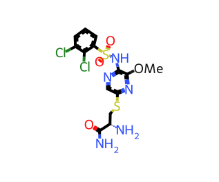 COc1nc(SC[C@H](N)C(N)=O)cnc1NS(=O)(=O)c1cccc(Cl)c1Cl